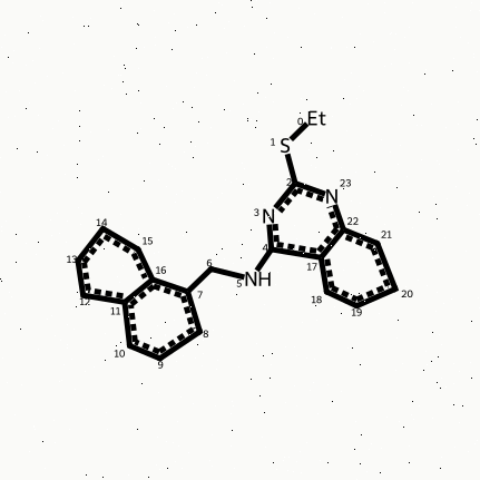 CCSc1nc(NCc2cccc3ccccc23)c2ccccc2n1